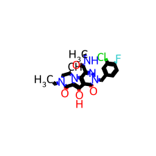 CCN1C[C@H](C)n2c(c(O)c3c(=O)n(Cc4ccc(F)c(Cl)c4)nc(C(=O)NC)c32)C1=O